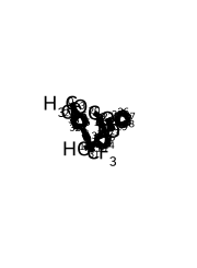 CS(=O)(=O)c1ccc(C#CC(O)(c2cccc(N(CCC(F)(F)F)S(=O)(=O)c3ccccc3)c2)C(F)(F)F)cc1